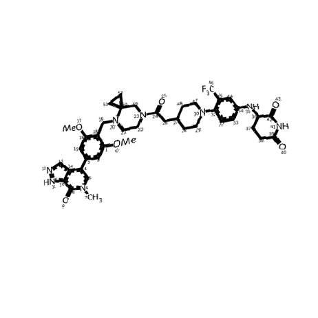 COc1cc(-c2cn(C)c(=O)c3[nH]ncc23)cc(OC)c1CN1CCN(C(=O)CC2CCN(c3ccc(NC4CCC(=O)NC4=O)cc3C(F)(F)F)CC2)CC12CC2